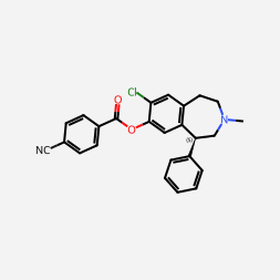 CN1CCc2cc(Cl)c(OC(=O)c3ccc(C#N)cc3)cc2[C@H](c2ccccc2)C1